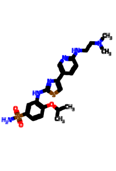 CC(C)Oc1ccc(S(N)(=O)=O)cc1Nc1nc(-c2ccc(NCCN(C)C)nc2)cs1